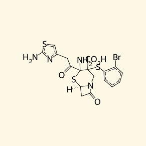 Nc1nc(CC(=O)C2(N)S[C@@H]3CC(=O)N3CC2(Sc2ccccc2Br)C(=O)O)cs1